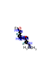 CCC(=O)Nc1cncc(-c2cc3c(-c4nc5c(-c6cc(F)cc(NCCN(C)C)c6)nccc5[nH]4)n[nH]c3cc2F)c1